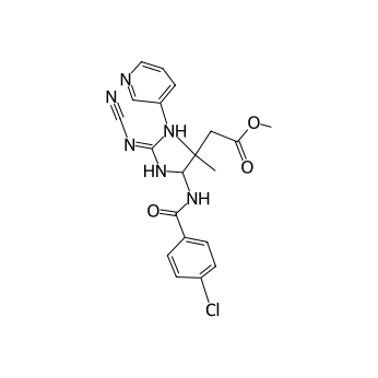 COC(=O)CC(C)(C)C(NC(=O)c1ccc(Cl)cc1)N/C(=N/C#N)Nc1cccnc1